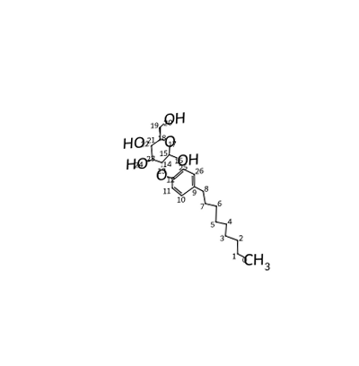 CCCCCCCCCc1ccc(O[C@H]2C(O)O[C@H](CO)[C@@H](O)[C@@H]2O)cc1